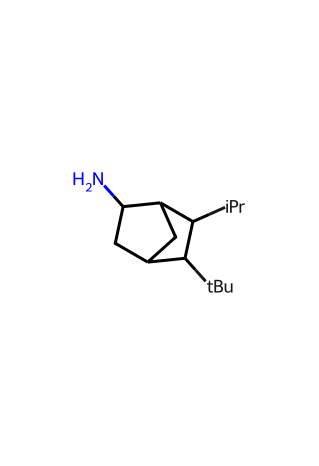 CC(C)C1C2CC(CC2N)C1C(C)(C)C